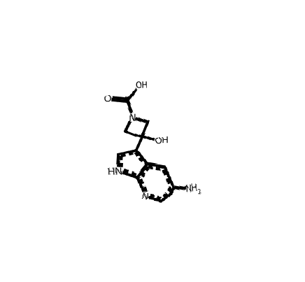 Nc1cnc2[nH]cc(C3(O)CN(C(=O)O)C3)c2c1